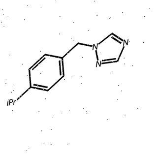 CC(C)c1ccc(Cn2cncn2)cc1